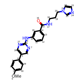 COc1ccc(-c2cnc(Nc3cccc(C(=O)NCCCn4ccnc4)c3)nc2)cc1